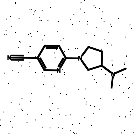 CN(C)C1CCN(c2ccc(C#N)cn2)C1